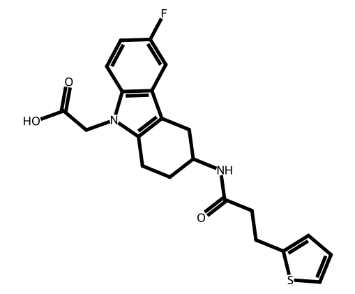 O=C(O)Cn1c2c(c3cc(F)ccc31)CC(NC(=O)CCc1cccs1)CC2